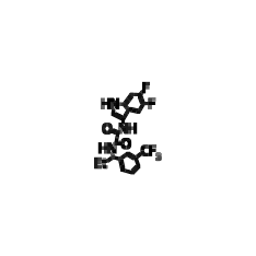 CCC(NC(=O)C(=O)Nc1c[nH]c2cc(F)c(F)cc12)c1cccc(C(F)(F)F)c1